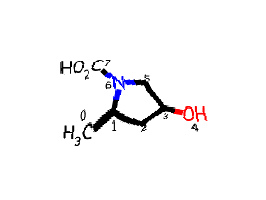 CC1CC(O)CN1C(=O)O